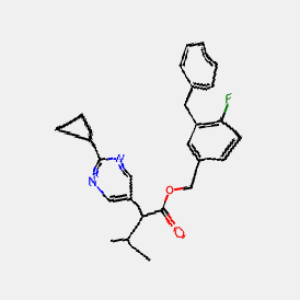 CC(C)C(C(=O)OCc1ccc(F)c(Cc2ccccc2)c1)c1cnc(C2CC2)nc1